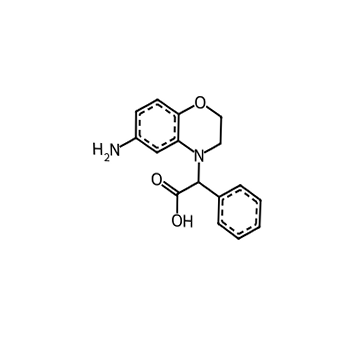 Nc1ccc2c(c1)N(C(C(=O)O)c1ccccc1)CCO2